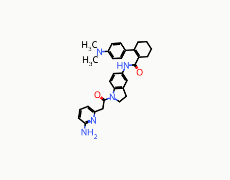 CN(C)c1ccc(C2=C(C(=O)Nc3ccc4c(c3)CCN4C(=O)Cc3cccc(N)n3)CCCC2)cc1